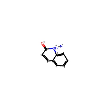 O=c1ccc2ccccc2[nH]1.[N]